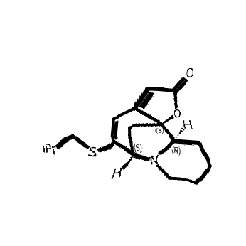 CC(C)CSC1=CC2=CC(=O)O[C@@]23C[C@@H]1N1CCCC[C@@H]13